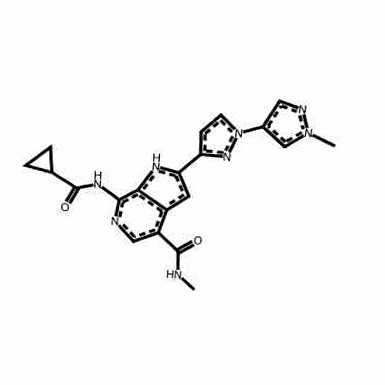 CNC(=O)c1cnc(NC(=O)C2CC2)c2[nH]c(-c3ccn(-c4cnn(C)c4)n3)cc12